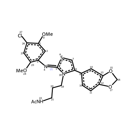 COc1cc(/N=c2\scc(-c3ccc4c(c3)OCO4)n2CCCNC(C)=O)c(OC)cc1Cl